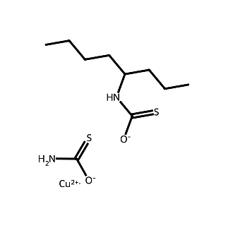 CCCCC(CCC)NC([O-])=S.NC([O-])=S.[Cu+2]